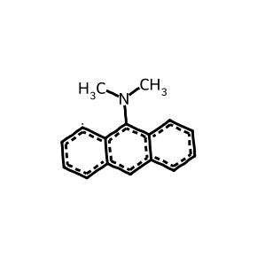 CN(C)c1c2[c]cccc2cc2ccccc12